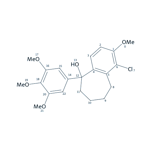 COc1ccc2c(c1Cl)CCCCC2(O)c1cc(OC)c(OC)c(OC)c1